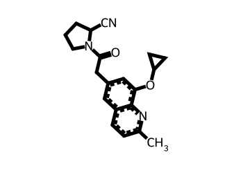 Cc1ccc2cc(CC(=O)N3CCCC3C#N)cc(OC3CC3)c2n1